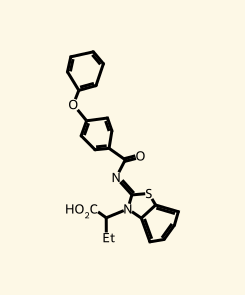 CCC(C(=O)O)n1c(=NC(=O)c2ccc(Oc3ccccc3)cc2)sc2ccccc21